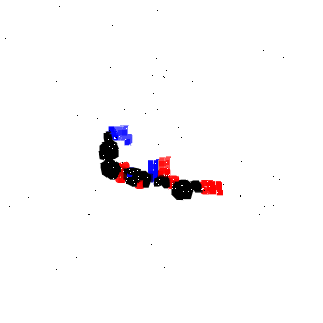 NCc1ccc(-c2cccc(S(=O)(=O)N3CCC4(CC3)C[C@@H](NC[C@H](O)COc3cccc(CCO)c3)CO4)c2)cc1